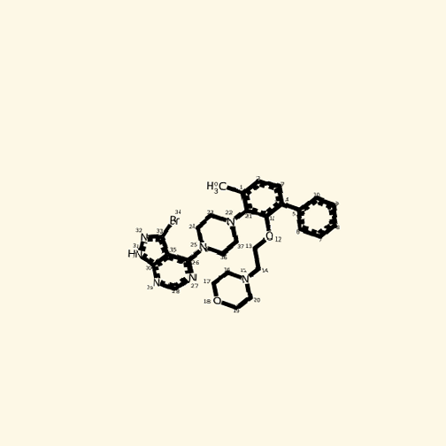 Cc1ccc(-c2ccccc2)c(OCCN2CCOCC2)c1N1CCN(c2ncnc3[nH]nc(Br)c23)CC1